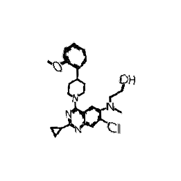 COc1ccccc1C1CCN(c2nc(C3CC3)nc3cc(Cl)c(N(C)CCO)cc23)CC1